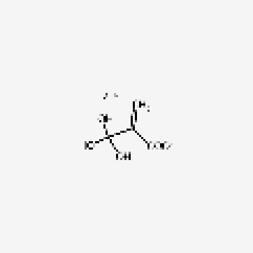 C=C(C(=O)[O-])C(O)(O)O.[Zr+]